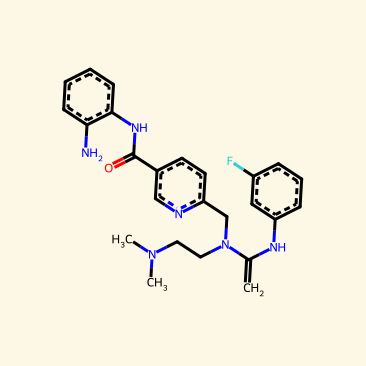 C=C(Nc1cccc(F)c1)N(CCN(C)C)Cc1ccc(C(=O)Nc2ccccc2N)cn1